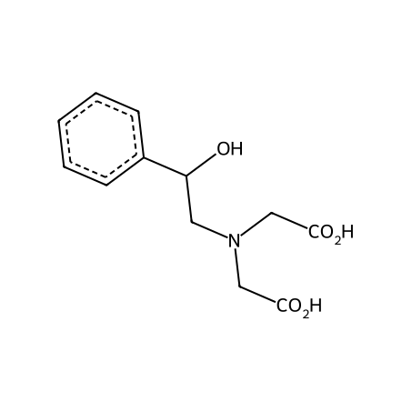 O=C(O)CN(CC(=O)O)CC(O)c1ccccc1